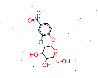 O=[N+]([O-])c1ccc(O[C@H]2C[C@@H](O)[C@H](O)[C@@H](CO)O2)c(Cl)c1